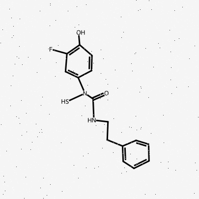 O=C(NCCc1ccccc1)N(S)c1ccc(O)c(F)c1